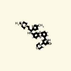 Cc1ccc(C(CCN2CCN(C)CC2)Nc2ccc3c(c2)Sc2cccc(-c4cc(N5CCOCC5)cc(=O)[nH]4)c2S3)nc1